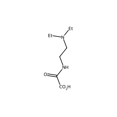 CCN(CC)CCNC(=O)C(=O)O